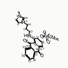 COS(=O)(=O)[O-].Cn1cc[n+](CCCNc2cccc3c2C(=O)c2ccccc2C3=O)c1